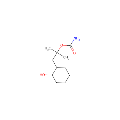 CC(C)(CC1CCCCC1O)OC(N)=O